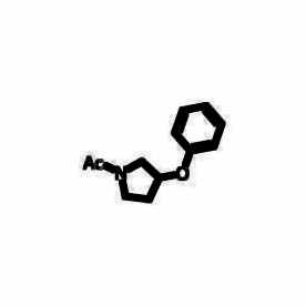 CC(=O)N1CCC(Oc2ccccc2)C1